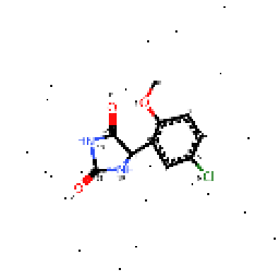 COc1ccc(Cl)cc1C1NC(=O)NC1=O